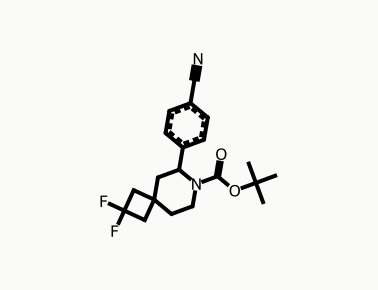 CC(C)(C)OC(=O)N1CCC2(CC1c1ccc(C#N)cc1)CC(F)(F)C2